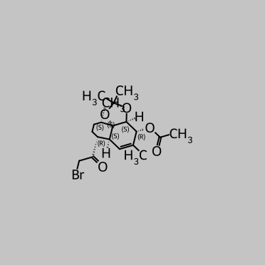 CC(=O)O[C@@H]1C(C)=C[C@H]2[C@H](C(=O)CBr)CC[C@H](C)[C@]23OC(C)(C)O[C@@H]13